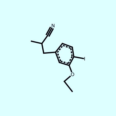 CCOc1cc(CC(C)C#N)ccc1I